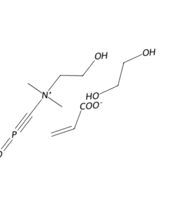 C=CC(=O)[O-].C[N+](C)(C#P=O)CCO.OCCO